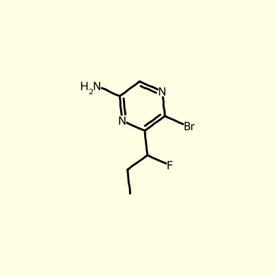 CCC(F)c1nc(N)cnc1Br